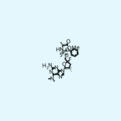 COC(=O)[C@H](C)N[P@](=S)(OC[C@]1(F)C[C@H](C)[C@H](n2cnc3c(N(C)C)nc(N)nc32)O1)Oc1ccccc1